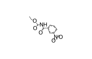 CCOC(=O)NC(=O)c1cccc([N+](=O)[O-])c1